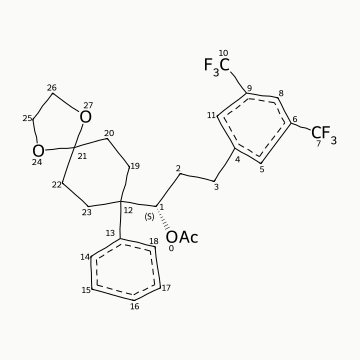 CC(=O)O[C@@H](CCc1cc(C(F)(F)F)cc(C(F)(F)F)c1)C1(c2ccccc2)CCC2(CC1)OCCO2